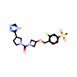 CS(=O)(=O)c1ccc(COC2CN(C(=O)N3CCC(c4nnc[nH]4)C3)C2)c(F)c1